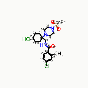 CCCS(=O)(=O)N1CCN(C2(CNC(=O)c3ccc(Cl)cc3C)CCCCC2)CC1.Cl